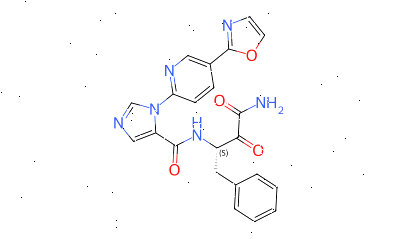 NC(=O)C(=O)[C@H](Cc1ccccc1)NC(=O)c1cncn1-c1ccc(-c2ncco2)cn1